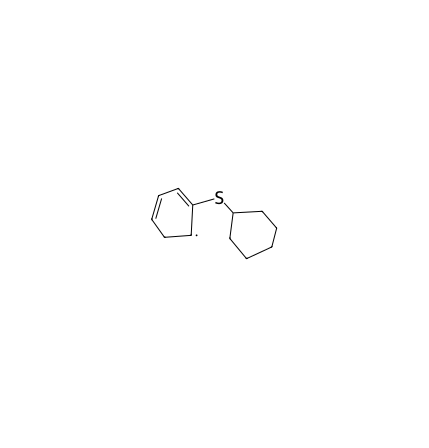 [CH]1CC=CC=C1SC1CCCCC1